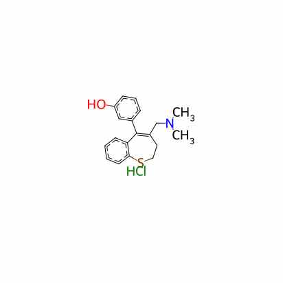 CN(C)CC1=C(c2cccc(O)c2)c2ccccc2SCC1.Cl